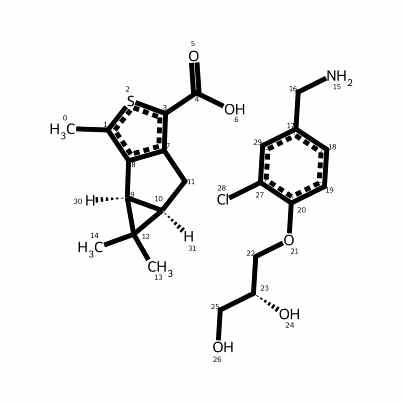 Cc1sc(C(=O)O)c2c1[C@H]1[C@@H](C2)C1(C)C.NCc1ccc(OC[C@H](O)CO)c(Cl)c1